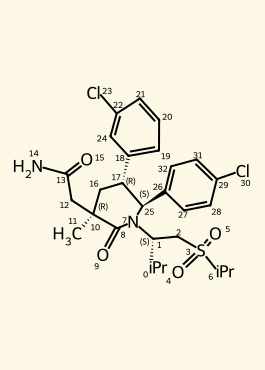 CC(C)[C@@H](CS(=O)(=O)C(C)C)N1C(=O)[C@@](C)(CC(N)=O)C[C@H](c2cccc(Cl)c2)[C@H]1c1ccc(Cl)cc1